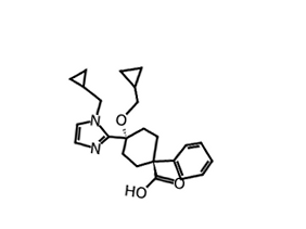 O=C(O)[C@]1(c2ccccc2)CC[C@](OCC2CC2)(c2nccn2CC2CC2)CC1